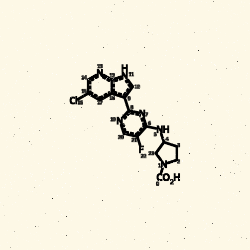 O=C(O)N1CCC(Nc2nc(-c3c[nH]c4ncc(Cl)cc34)ncc2F)C1